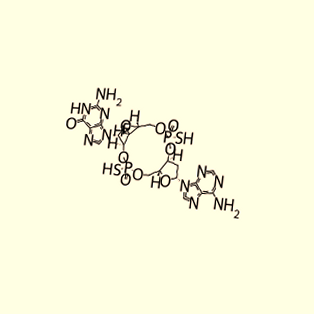 Nc1nc2c(ncn2[C@@H]2O[C@@H]3CO[P@](=O)(S)O[C@H]4C[C@H](n5cnc6c(N)ncnc65)O[C@@H]4CO[P@](=O)(S)O[C@@H]2[C@@H]3F)c(=O)[nH]1